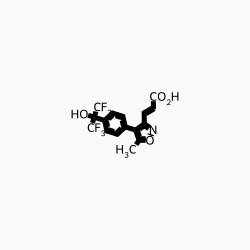 Cc1onc(C=CC(=O)O)c1-c1ccc(C(O)(C(F)(F)F)C(F)(F)F)cc1